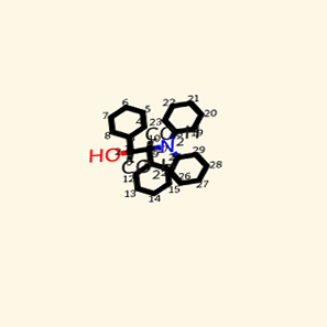 O=C(O)C(O)(C1CCCCC1)C(C(=O)O)(C1CCCCC1)N(C1CCCCC1)C1CCCCC1